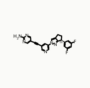 Nc1ncc(C#Cc2cncc(-n3cc4c(n3)[C@H](c3cc(F)cc(F)c3)CC4)c2)cn1